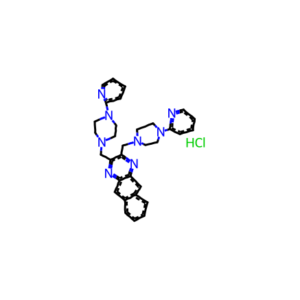 Cl.c1ccc(N2CCN(Cc3nc4cc5ccccc5cc4nc3CN3CCN(c4ccccn4)CC3)CC2)nc1